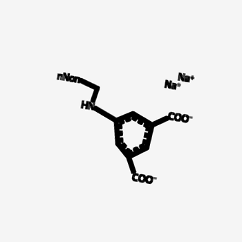 CCCCCCCCCCNc1cc(C(=O)[O-])cc(C(=O)[O-])c1.[Na+].[Na+]